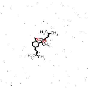 CC(C)=C/C=C1/CCC2(CO2)C(C(C)(C)OCC=C(C)C)C1